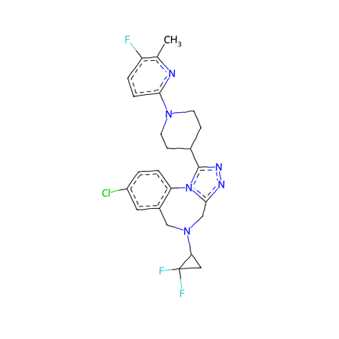 Cc1nc(N2CCC(c3nnc4n3-c3ccc(Cl)cc3CN(C3CC3(F)F)C4)CC2)ccc1F